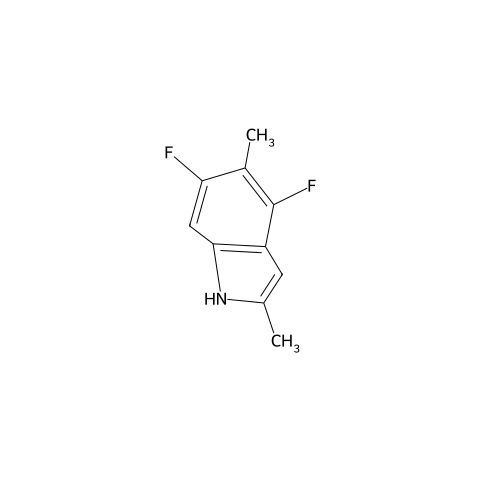 Cc1cc2c(F)c(C)c(F)cc2[nH]1